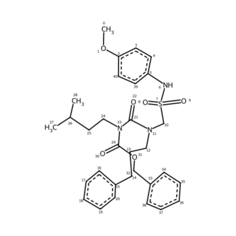 COc1ccc(NS(=O)(=O)CN(CCCc2ccccc2)C(=O)N(CCC(C)C)C(=O)OCc2ccccc2)cc1